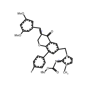 COc1cc(/C=C2\COc3c(cc(Cn4ccn(C)/c4=N\C(=O)OC(C)(C)C)cc3-c3ccc(F)cc3)C2=O)cc(OC)c1